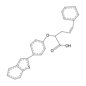 O=C(O)C(C/C=C\c1ccccc1)Oc1ccc(-c2cc3ccccc3s2)cc1